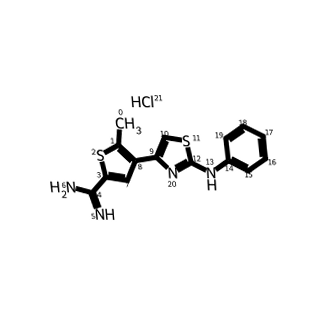 Cc1sc(C(=N)N)cc1-c1csc(Nc2ccccc2)n1.Cl